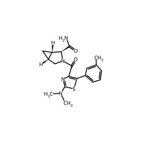 Cc1cccc(-c2sc(N(C)C)nc2C(=O)N2C[C@@H]3C[C@@H]3[C@H]2C(N)=O)c1